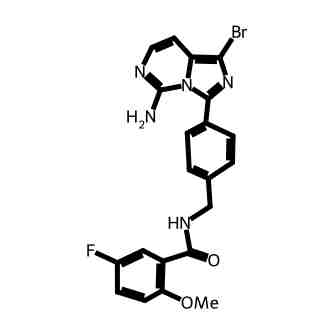 COc1ccc(F)cc1C(=O)NCc1ccc(-c2nc(Br)c3ccnc(N)n23)cc1